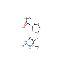 COC(=O)[C@H]1CCC[C@H](Oc2cnc(Cl)nc2C#N)C1